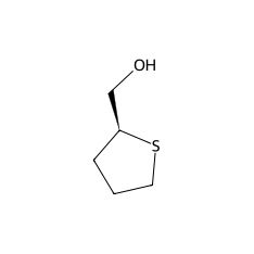 OC[C@@H]1CCCS1